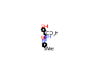 CSc1ccc(/N=N/C(=O)N[C@@H](Cc2ccc(O)cc2)C(=O)O)cc1